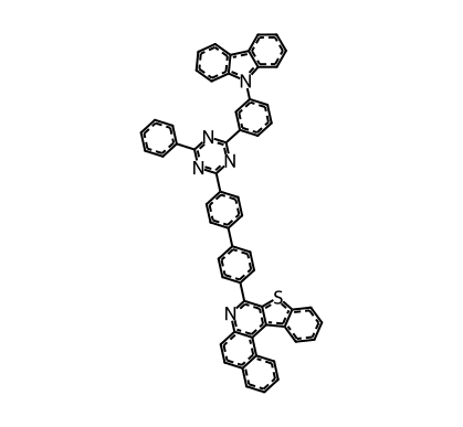 c1ccc(-c2nc(-c3ccc(-c4ccc(-c5nc6ccc7ccccc7c6c6c5sc5ccccc56)cc4)cc3)nc(-c3cccc(-n4c5ccccc5c5ccccc54)c3)n2)cc1